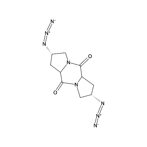 [N-]=[N+]=N[C@H]1CC2C(=O)N3C[C@@H](N=[N+]=[N-])CC3C(=O)N2C1